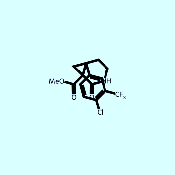 COC(=O)C12CC1(c1ccc(Cl)c(C(F)(F)F)c1)CCNC2=O